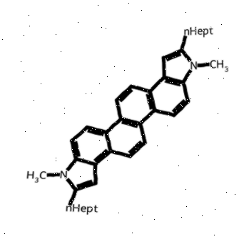 CCCCCCCc1cc2c3ccc4c(ccc5c4ccc4c5cc(CCCCCCC)n4C)c3ccc2n1C